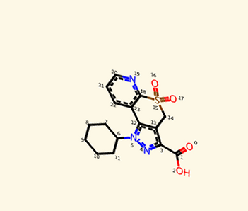 O=C(O)c1nn(C2CCCCC2)c2c1CS(=O)(=O)c1ncccc1-2